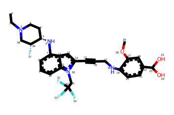 CCN1CC[C@H](Nc2cccc3c2cc(C#CCNc2ccc(C(O)O)cc2OC)n3CC(F)(F)F)[C@H](F)C1